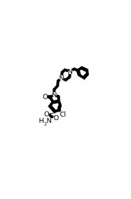 NS(=O)(=O)c1cc2c(cc1Cl)CN(CCCN1CCN(Cc3ccccc3)CC1)C2=O